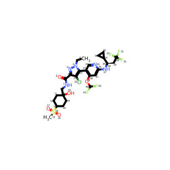 CCn1nc(C(=O)NCC2(O)CCC(S(C)(=O)=O)CC2)c(Cl)c1-c1cnc(N[C@H](CC(F)(F)F)C2CC2)cc1OC(F)F